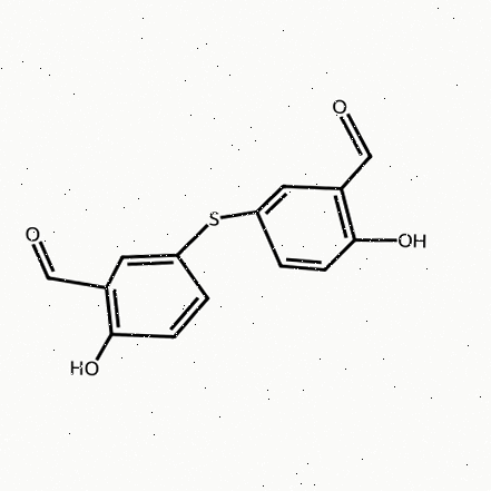 O=Cc1cc(Sc2ccc(O)c(C=O)c2)ccc1O